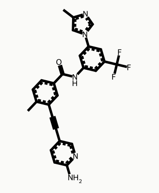 Cc1cn(-c2cc(NC(=O)c3ccc(C)c(C#Cc4ccc(N)nc4)c3)cc(C(F)(F)F)c2)cn1